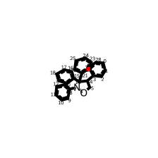 c1ccc(C2CON(c3ccccc3)C2(c2ccccc2)c2ccccc2)cc1